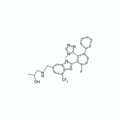 CC(O)CNCc1cc(C(F)(F)F)c2oc(-c3c(F)ccc(-c4ccccc4)c3-c3nncn3C)nc2c1